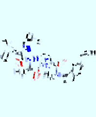 C=Cc1ccc2c(c1)[C@H](N(C)C(=O)[C@@H]1CCCN(C(=O)[C@H](C)NC(=O)[C@@H](NCC)C(C)C)N1)CC2